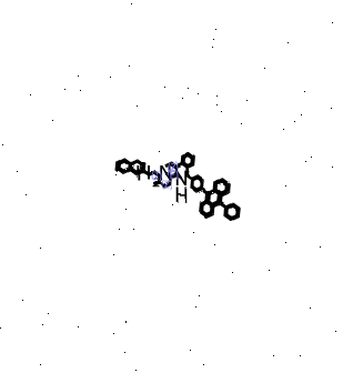 C=C(/C=C\Cc1ccc2ccccc2c1)\C=C/C(N)=C1\NC(c2ccc(-c3c4ccccc4c(-c4ccccc4)c4ccccc34)cc2)c2ccccc2\C1=C\C